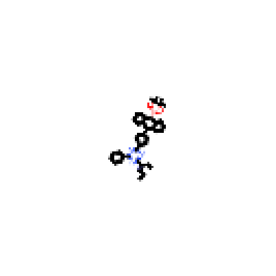 C=C/C=C(\C=C)c1nc(-c2ccccc2)nc(-c2ccc(-c3c4ccccc4c(B4OC(C)(C)C(C)(C)O4)c4ccccc34)cc2)n1